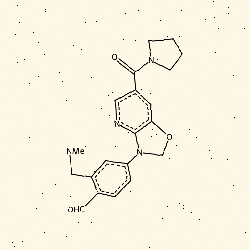 CNCc1cc(N2COc3cc(C(=O)N4CCCC4)cnc32)ccc1C=O